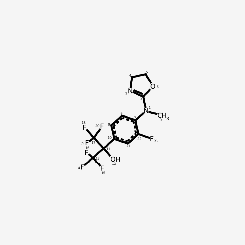 CN(C1=NCCO1)c1ccc(C(O)(C(F)(F)F)C(F)(F)F)cc1F